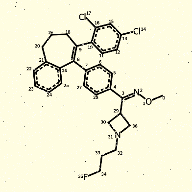 CON=C(c1ccc(C2=C(c3ccc(Cl)cc3Cl)CCCc3ccccc32)cc1)C1CN(CCCF)C1